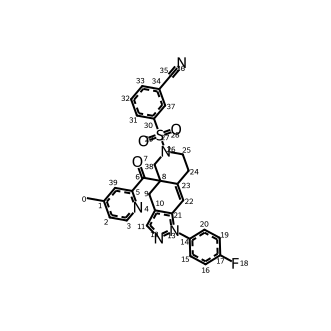 Cc1ccnc(C(=O)C23Cc4cnn(-c5ccc(F)cc5)c4C=C2CCN(S(=O)(=O)c2cccc(C#N)c2)C3)c1